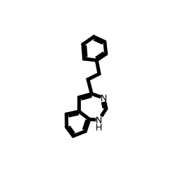 C1=NC(CCc2ccccc2)=Cc2ccccc2N1